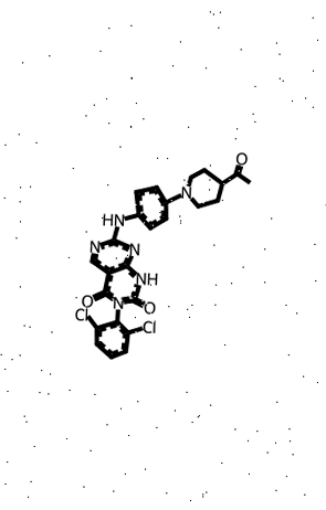 CC(=O)C1CCN(c2ccc(Nc3ncc4c(=O)n(-c5c(Cl)cccc5Cl)c(=O)[nH]c4n3)cc2)CC1